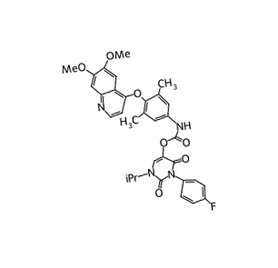 COc1cc2nccc(Oc3c(C)cc(NC(=O)Oc4cn(C(C)C)c(=O)n(-c5ccc(F)cc5)c4=O)cc3C)c2cc1OC